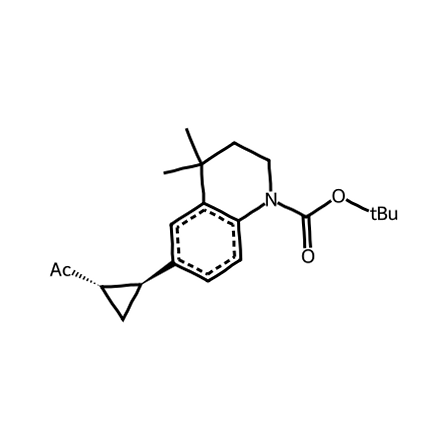 CC(=O)[C@H]1C[C@@H]1c1ccc2c(c1)C(C)(C)CCN2C(=O)OC(C)(C)C